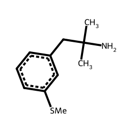 CSc1cccc(CC(C)(C)N)c1